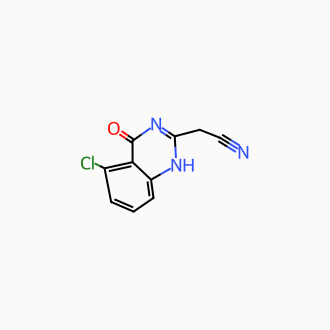 N#CCc1nc(=O)c2c(Cl)cccc2[nH]1